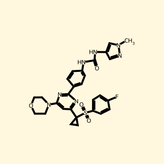 Cn1cc(NC(=O)Nc2ccc(-c3nc(N4CCOCC4)cc(C4(S(=O)(=O)c5ccc(F)cc5)CC4)n3)cc2)cn1